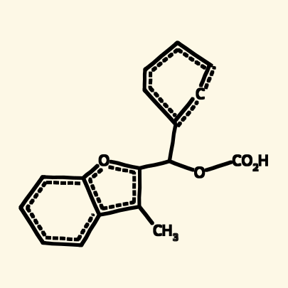 Cc1c(C(OC(=O)O)c2ccccc2)oc2ccccc12